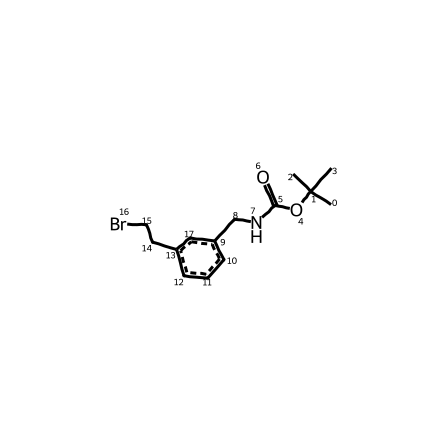 CC(C)(C)OC(=O)NCc1cccc(CCBr)c1